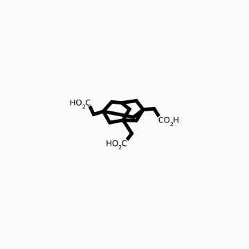 O=C(O)CC12CC3CC(CC(=O)O)(C1)CC(CC(=O)O)(C3)C2